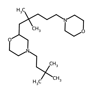 CC(C)(C)CCN1CCOC(CC(C)(C)CCCN2CCOCC2)C1